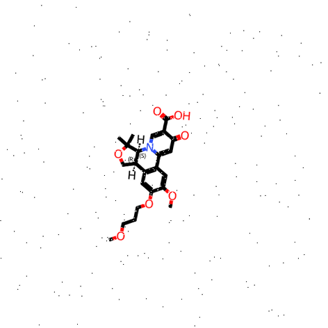 COCCCOc1cc2c(cc1OC)-c1cc(=O)c(C(=O)O)cn1[C@H]1[C@@H]2COC1(C)C